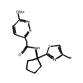 COc1ccc(C(=O)NC2(c3nc(C)cs3)CCCC2)nn1